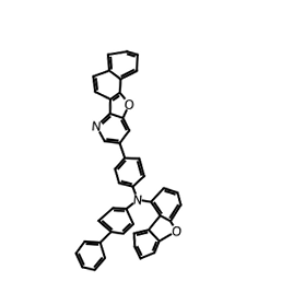 c1ccc(-c2ccc(N(c3ccc(-c4cnc5c(c4)oc4c6ccccc6ccc54)cc3)c3cccc4oc5ccccc5c34)cc2)cc1